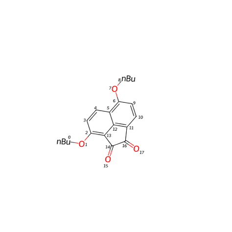 CCCCOc1ccc2c(OCCCC)ccc3c2c1C(=O)C3=O